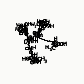 CCO[C@@H]1C[C@@H](O)C[C@H]1NC(=O)CCCCCCCCCCC(=O)NC(CCC(=O)NC(CCC(=O)NCCOCCOC1OC(CO)C(O)C(O)C1NC(C)=O)C(=O)NCCOCCOC1OC(CO)C(O)C(O)C1NC(C)=O)C(=O)NCCOCCOC1OC(CO)C(O)C(O)C1NC(C)=O